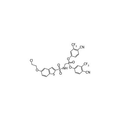 N#Cc1ccc(OP(=O)(CNS(=O)(=O)c2cc3cc(OCCCl)ccc3s2)Oc2ccc(C#N)c(C(F)(F)F)c2)cc1C(F)(F)F